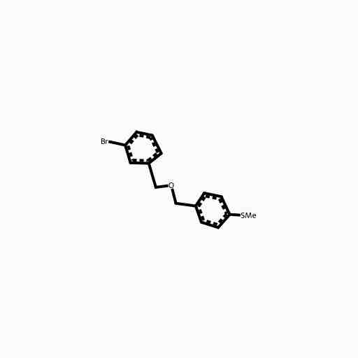 CSc1ccc(COCc2cc[c]c(Br)c2)cc1